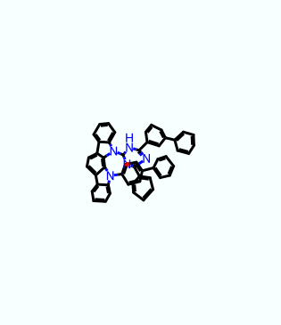 c1ccc(C2=NC(n3c4ccccc4c4ccc5c6ccccc6n(-c6ccc(-c7ccccc7)cc6)c5c43)NC(c3cccc(-c4ccccc4)c3)=N2)cc1